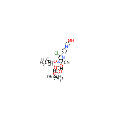 CC(C)(C)[Si](C)(C)O[C@@H]1CO[C@H]2[C@@H]1OC[C@H]2Oc1c(C#N)c2nc(-c3ccc(N4CCC(O)CC4)cc3)c(Cl)cc2n1COCC[Si](C)(C)C